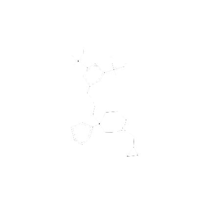 FC(F)(F)c1cc(COCC2(c3ccccc3)CCCN(CC3CC3)CC2)cc(C(F)(F)F)c1